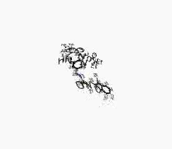 CCC(CC)C(=O)OCN1C(=O)C(C)(O[Si](C)(C)C)CNc2cc(/C=C/C(=O)N(C)Cc3oc4ccccc4c3C)cnc21